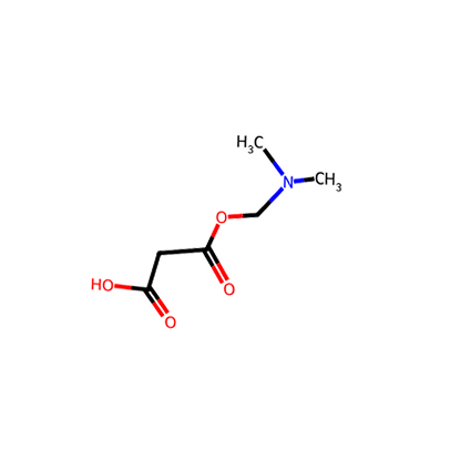 CN(C)COC(=O)CC(=O)O